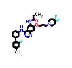 C=CC(=O)Nc1cc2c(Nc3cccc(-c4ccc(C)cc4F)c3)ncnc2cc1OCCCN1CCC(F)(F)CC1